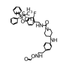 CC(C)(C)[Si](Oc1ccc(CNC(=O)N2CCC(Nc3ccc(CCNOC=O)cc3)CC2)c(F)c1)(c1ccccc1)c1ccccc1